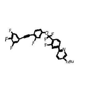 CCCCc1ccc(-c2ccc(C(F)(F)Oc3ccc(C#Cc4cc(F)c(F)c(F)c4)c(F)c3)c(F)c2)nc1